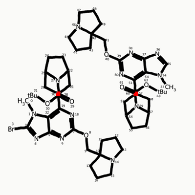 Cn1c(Br)nc2nc(OCC34CCCN3CCC4)nc(N3CC4CCC(C3)N4C(=O)OC(C)(C)C)c21.Cn1cnc2nc(OCC34CCCN3CCC4)nc(N3CC4CCC(C3)N4C(=O)OC(C)(C)C)c21